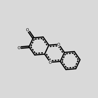 O=c1cc2oc3ccccc3oc-2cc1=O